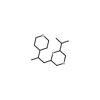 CC(C)C1CSCC(CC(C)C2CCOCC2)S1